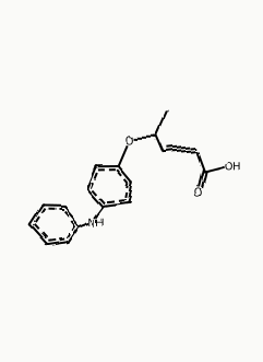 CC(/C=C/C(=O)O)Oc1ccc(Nc2ccccc2)cc1